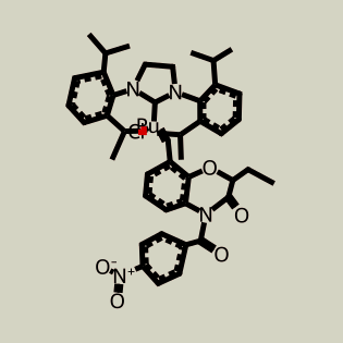 CCC1Oc2c([CH]=[Ru]([Cl])[CH]3N(c4c(C(C)C)cccc4C(C)C)CCN3c3c(C(C)C)cccc3C(C)C)cccc2N(C(=O)c2ccc([N+](=O)[O-])cc2)C1=O